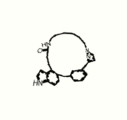 O=C1CCc2c(ccc3[nH]ccc23)Cc2cccc(c2)-c2ccn(n2)CCCCCCN1